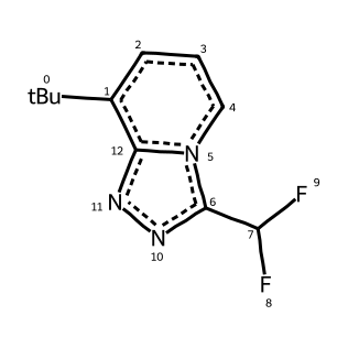 CC(C)(C)c1cccn2c(C(F)F)nnc12